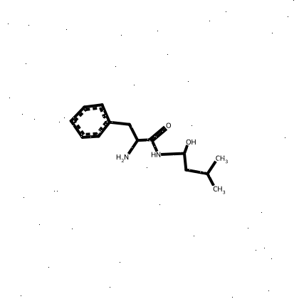 CC(C)CC(O)NC(=O)C(N)Cc1ccccc1